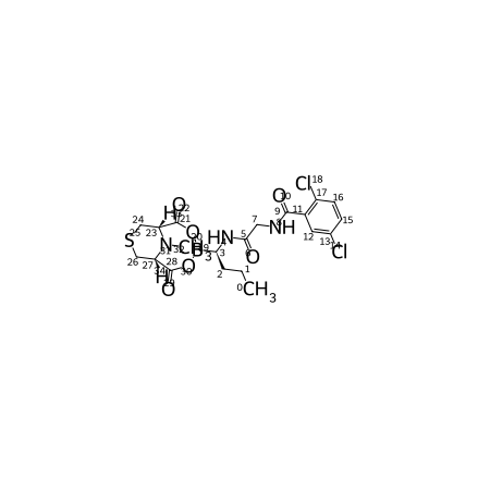 CCC[C@H](NC(=O)CNC(=O)c1cc(Cl)ccc1Cl)B1OC(=O)[C@H]2CSC[C@@H](C(=O)O1)N2C